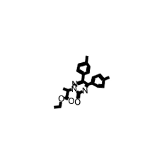 CCOC(=O)C(C)n1nc(-c2ccc(C)cc2)c(-c2ccc(C)cc2)nc1=O